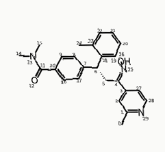 Cc1cc(/C(C[C@H](c2ccc(C(=O)N(C)C)cc2)c2ccccc2C)=N/O)ccn1